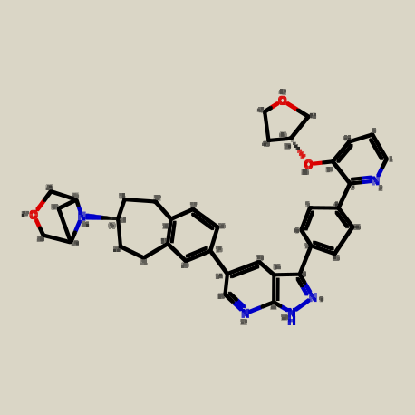 c1cnc(-c2ccc(-c3n[nH]c4ncc(-c5ccc6c(c5)CC[C@@H](N5C7COCC5C7)CC6)cc34)cc2)c(O[C@@H]2CCOC2)c1